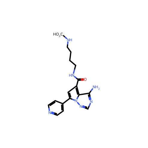 Nc1ncnn2c(-c3ccncc3)cc(C(=O)NCCCCNC(=O)O)c12